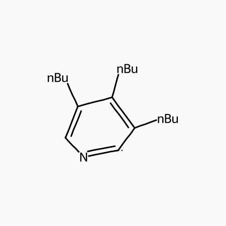 CCCCc1[c]ncc(CCCC)c1CCCC